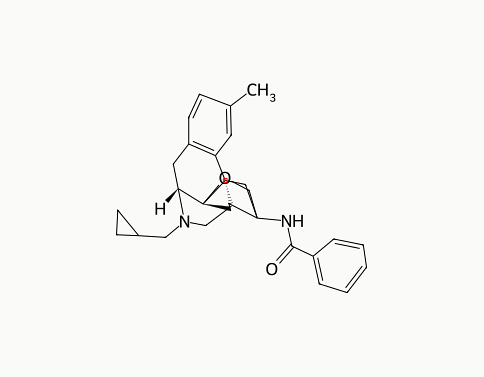 Cc1ccc2c(c1)[C@]13CCN(CC4CC4)[C@H](C2)[C@]12CCC(NC(=O)c1ccccc1)(CO2)C3